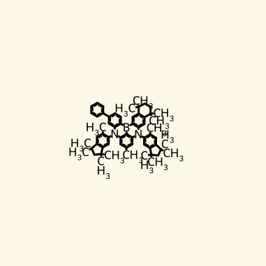 Cc1cc2c3c(c1)N(c1cc4c(cc1C)C(C)(C)CC4(C)C)c1cc4c(cc1B3c1ccc(-c3ccccc3)cc1N2c1cc2c(cc1C)C(C)(C)CC2(C)C)C(C)(C)CCC4(C)C